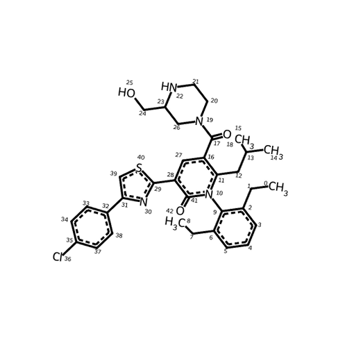 CCc1cccc(CC)c1-n1c(CC(C)C)c(C(=O)N2CCNC(CO)C2)cc(-c2nc(-c3ccc(Cl)cc3)cs2)c1=O